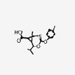 Cc1ccc(OC(=S)OC(C(C)C)C2C(C(=O)O)C2(C)C)cc1